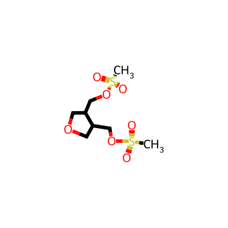 CS(=O)(=O)OCC1COCC1COS(C)(=O)=O